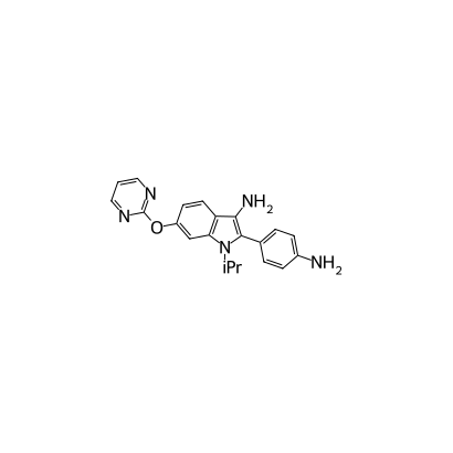 CC(C)n1c(-c2ccc(N)cc2)c(N)c2ccc(Oc3ncccn3)cc21